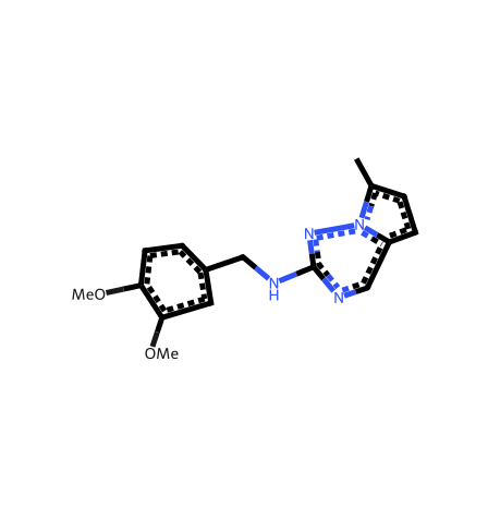 COc1ccc(CNc2ncc3ccc(C)n3n2)cc1OC